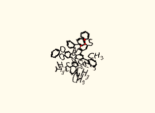 Cc1cc2c(cc1N1c3cc4c(cc3B3c5c(cc(-c6c(C)cccc6C)cc51)-c1cc5sc6ccccc6c5cc1N3c1ccccc1-c1ccccc1)Oc1ccccc1O4)C(C)(C)CCC2(C)C